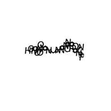 N#Cc1c(N2CC[C@@H](F)C2)ccc(F)c1Oc1ccc2ncn(-c3ccc(N4CC(CC5CN(c6ccc7c(c6)C(=O)N(C6CCC(=O)NC6=O)C7=O)C5)C4)nc3)c(=O)c2c1